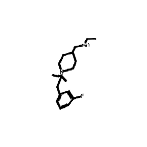 CCNCC1CCN(C(C)(C)Cc2cccc(F)c2)CC1